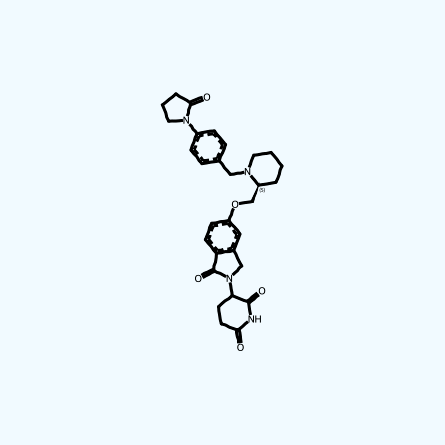 O=C1CCC(N2Cc3cc(OC[C@@H]4CCCCN4Cc4ccc(N5CCCC5=O)cc4)ccc3C2=O)C(=O)N1